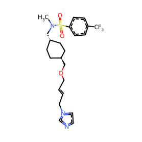 CN(C[C@H]1CC[C@H](COC/C=C/Cn2ccnc2)CC1)S(=O)(=O)c1ccc(C(F)(F)F)cc1